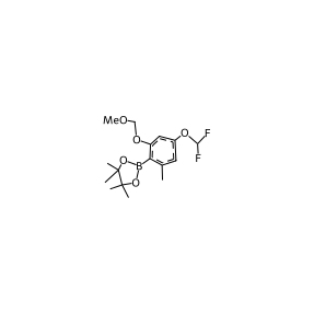 COCOc1cc(OC(F)F)cc(C)c1B1OC(C)(C)C(C)(C)O1